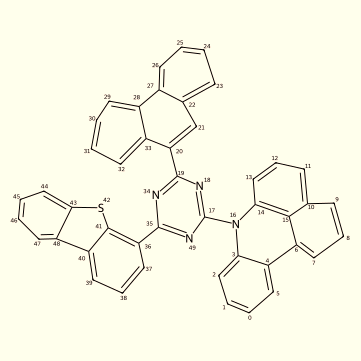 c1ccc2c(c1)-c1cccc3cccc(c13)N2c1nc(-c2cc3ccccc3c3ccccc23)nc(-c2cccc3c2sc2ccccc23)n1